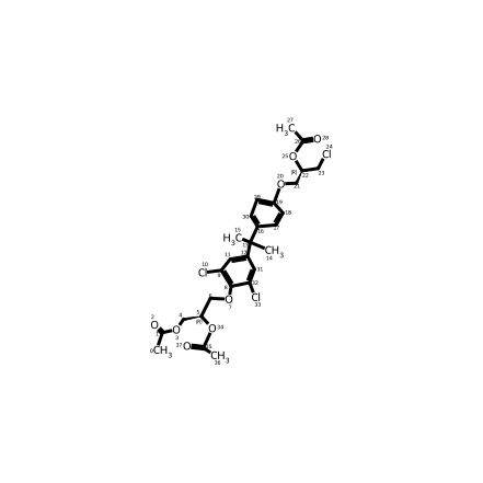 CC(=O)OC[C@@H](COc1c(Cl)cc(C(C)(C)c2ccc(OC[C@H](CCl)OC(C)=O)cc2)cc1Cl)OC(C)=O